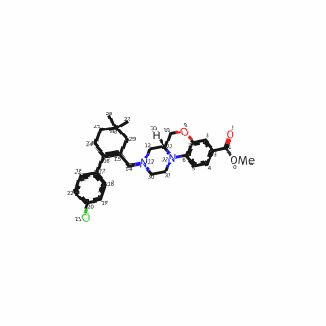 COC(=O)c1ccc2c(c1)OC[C@H]1CN(CC3=C(c4ccc(Cl)cc4)CCC(C)(C)C3)CCN21